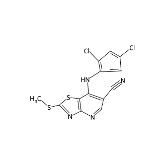 CSc1nc2ncc(C#N)c(Nc3ccc(Cl)cc3Cl)c2s1